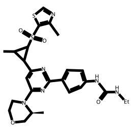 CCNC(=O)Nc1ccc(-c2nc(C3C(C)C3S(=O)(=O)c3scnc3C)cc(N3CCOC[C@@H]3C)n2)cc1